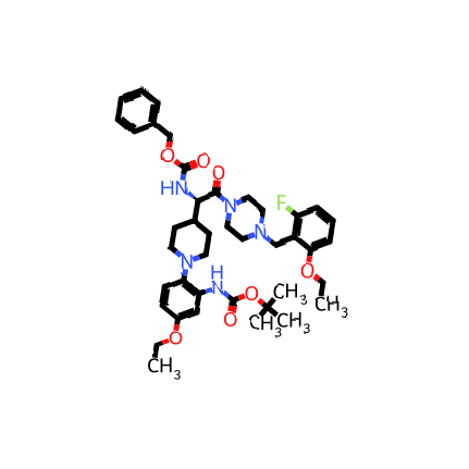 CCOc1ccc(N2CCC([C@@H](NC(=O)OCc3ccccc3)C(=O)N3CCN(Cc4c(F)cccc4OCC)CC3)CC2)c(NC(=O)OC(C)(C)C)c1